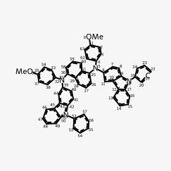 COc1ccc(N(c2ccc3c(c2)c2ccccc2n3-c2ccccc2)c2cccc3c(N(c4ccc(OC)cc4)c4ccc5c(c4)c4ccccc4n5-c4ccccc4)cccc23)cc1